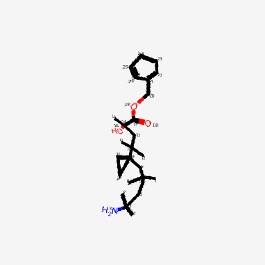 CC(C)(N)CC(C)(C)CC1(C(C)(C)CC(C)(O)C(=O)OCc2ccccc2)CC1